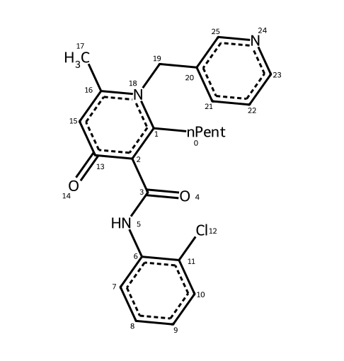 CCCCCc1c(C(=O)Nc2ccccc2Cl)c(=O)cc(C)n1Cc1cccnc1